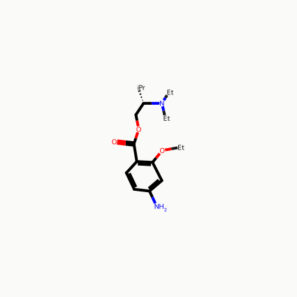 CCOc1cc(N)ccc1C(=O)OC[C@H](C(C)C)N(CC)CC